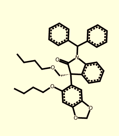 CCCCOC[C@]1(c2cc3c(cc2OCCCC)OCO3)C(=O)N(C(c2ccccc2)c2ccccc2)c2ccccc21